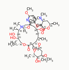 CC[C@H]1OC(=O)[C@H](C)[C@@H](O[C@H]2C[C@@](C)(OC)[C@@H](O)[C@H](C)O2)[C@H](C)[C@@H](O[C@@H]2O[C@H](C)C[C@H](N(C)C)[C@H]2Oc2ccc(OC)nc2OC)[C@](C)(O)C[C@@H](C)CN(C)[C@H](C)[C@@H](O)[C@]1(C)O